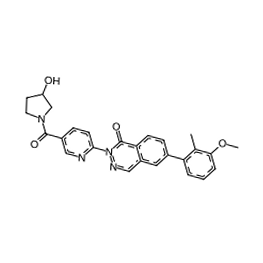 COc1cccc(-c2ccc3c(=O)n(-c4ccc(C(=O)N5CCC(O)C5)cn4)ncc3c2)c1C